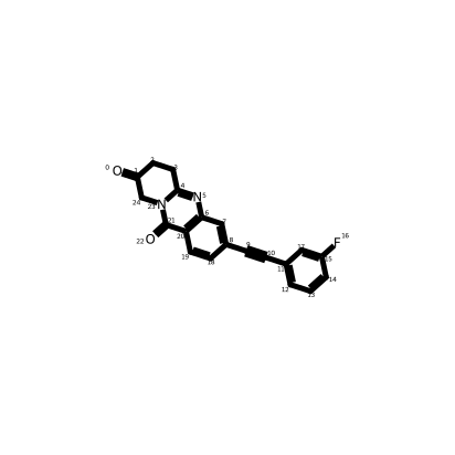 O=C1CCc2nc3cc(C#Cc4cccc(F)c4)ccc3c(=O)n2C1